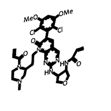 C=CC(=O)NC1COCC1Nc1ncc2cc(-c3c(Cl)c(OC)cc(OC)c3Cl)c(=O)n(CCC3CN(C)CCN3C(=O)C=C)c2n1